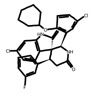 O=C1C[C@@H](c2cccc(F)c2)[C@]2(C(=O)Nc3cc(Cl)ccc32)[C@@H](c2cc(Cl)ccc2OC2CCCCC2)N1